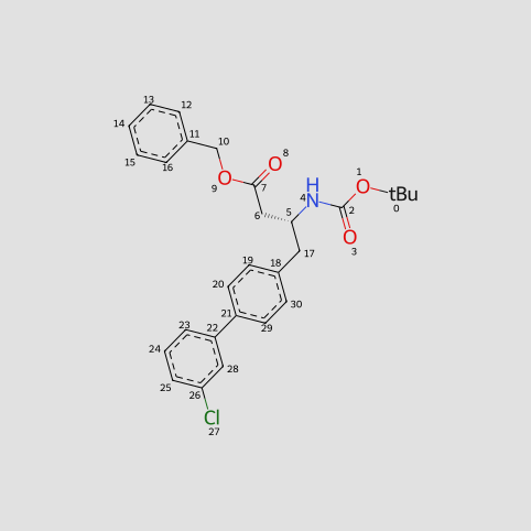 CC(C)(C)OC(=O)N[C@@H](CC(=O)OCc1ccccc1)Cc1ccc(-c2cccc(Cl)c2)cc1